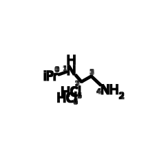 CC(C)NCCN.Cl.Cl